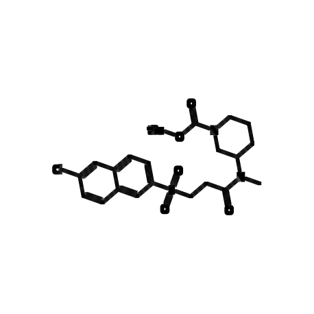 CN(C(=O)CCS(=O)(=O)c1ccc2cc(Cl)ccc2c1)C1CCCN(C(=O)OC(C)(C)C)C1